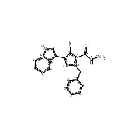 NNC(=O)c1c(F)c(-c2c[nH]c3ccccc23)nn1Cc1ccccc1